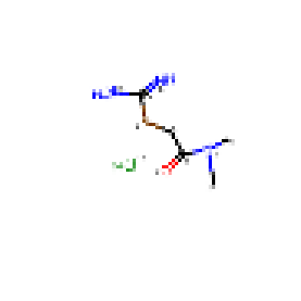 CN(C)C(=O)CSC(=N)N.Cl